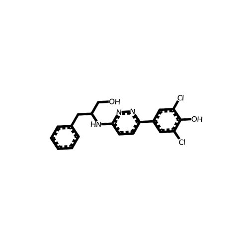 OCC(Cc1ccccc1)Nc1ccc(-c2cc(Cl)c(O)c(Cl)c2)nn1